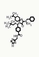 C=C(C)C1CCC2(CC1)N=C(N(C)Cc1ccccc1)C(=O)N2[C@H](CCC(C)(C)C)c1ccc(C(=O)NCc2nn[nH]n2)cc1